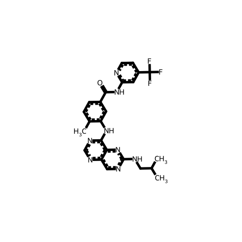 Cc1ccc(C(=O)Nc2cc(C(F)(F)F)ccn2)cc1Nc1ncnc2cnc(NCC(C)C)nc12